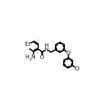 CC/C=C\C(C(=O)NCc1cccc(Oc2cccc(Cl)c2)c1)=C(/C)N